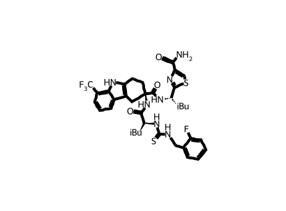 CC[C@H](C)[C@H](NC(=S)NCc1ccccc1F)C(=O)N[C@]1(C(=O)N[C@H](c2nc(C(N)=O)cs2)[C@@H](C)CC)CCc2[nH]c3c(C(F)(F)F)cccc3c2C1